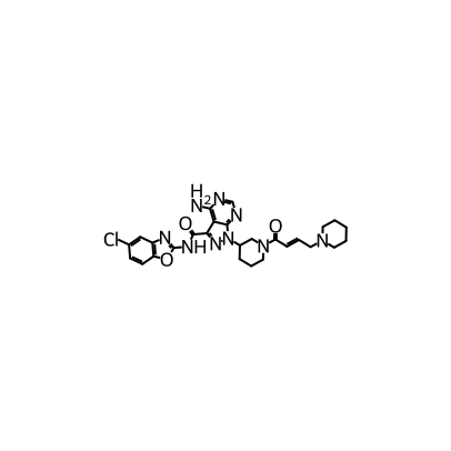 Nc1ncnc2c1c(C(=O)Nc1nc3cc(Cl)ccc3o1)nn2C1CCCN(C(=O)C=CCN2CCCCC2)C1